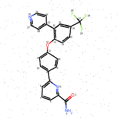 NC(=O)c1cccc(-c2ccc(Oc3ccc(C(F)(F)F)cc3-c3ccncc3)cc2)n1